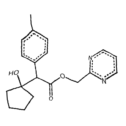 Cc1ccc(C(C(=O)OCc2ncccn2)C2(O)CCCC2)cc1